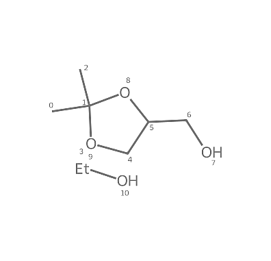 CC1(C)OCC(CO)O1.CCO